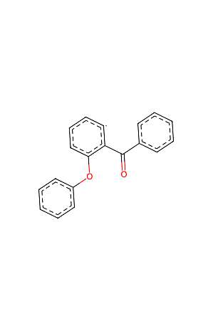 O=C(c1ccccc1)c1[c]cccc1Oc1ccccc1